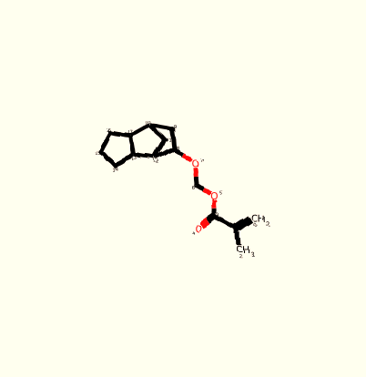 C=C(C)C(=O)OCOC1CC2CC1C1CCCC21